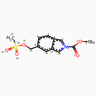 CC(C)(C)OC(=O)n1cc2ccc(COS(C)(=O)=O)cc2c1